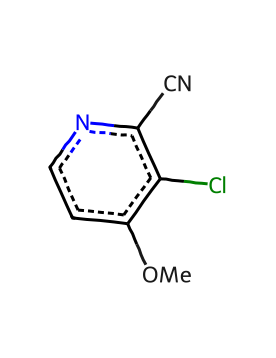 COc1ccnc(C#N)c1Cl